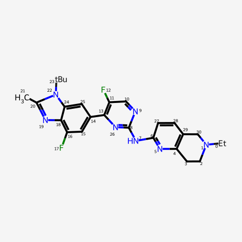 CCN1CCc2nc(Nc3ncc(F)c(-c4cc(F)c5nc(C)n(C(C)(C)C)c5c4)n3)ccc2C1